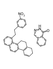 O=[N+]([O-])c1cccc(CCc2cccc3ccc4c(c23)CCC2=C4C=CCC2)c1.O=c1[nH]ncc2ccccc12